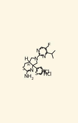 CC(C)c1nc(N2C[C@H]3CSC(N)=NC3(c3cncs3)C2)ncc1F.Cl.Cl